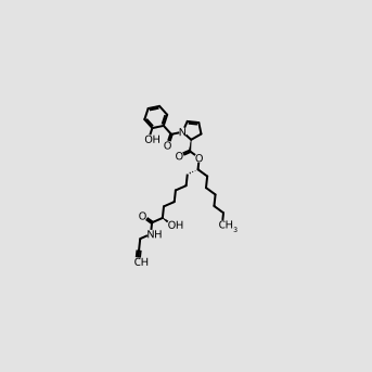 C#CCNC(=O)[C@H](O)CCCCC[C@@H](CCCCCC)OC(=O)[C@@H]1CC=CN1C(=O)c1ccccc1O